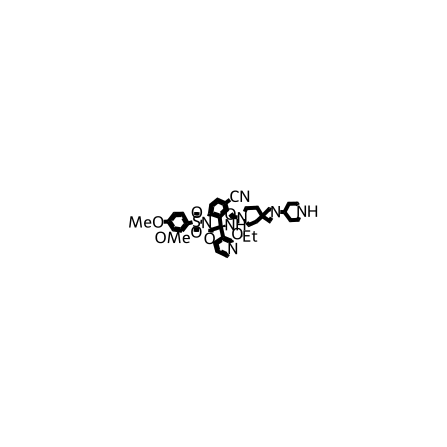 CCOc1ncccc1[C@]1(NC(=O)N2CCC3(CC2)CN(C2CCNCC2)C3)C(=O)N(S(=O)(=O)c2ccc(OC)cc2OC)c2ccc(C#N)cc21